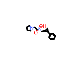 O=C(CN1CCCC1)N(O)CC1CC1c1ccccc1